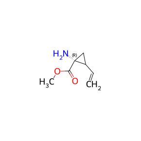 C=CC1C[C@]1(N)C(=O)OC